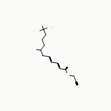 C#CCOC(=O)/C=C/C=C/CC(C)CCCC(C)(C)C